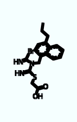 CCCc1ccc(CN(C(=N)Br)C(=N)SCC(=O)O)c2ccccc12